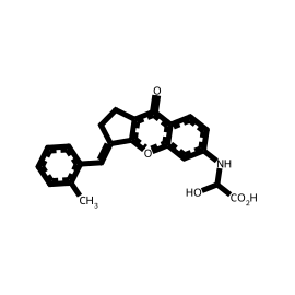 Cc1ccccc1C=C1CCc2c1oc1cc(NC(O)C(=O)O)ccc1c2=O